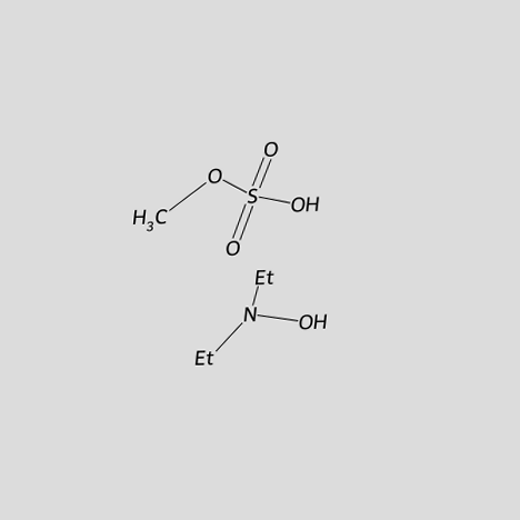 CCN(O)CC.COS(=O)(=O)O